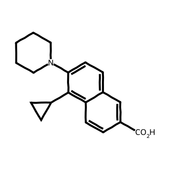 O=C(O)c1ccc2c(C3CC3)c(N3CCCCC3)ccc2c1